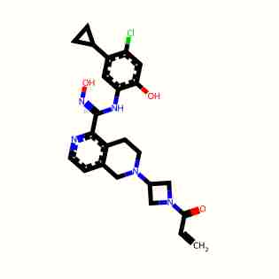 C=CC(=O)N1CC(N2CCc3c(ccnc3/C(=N/O)Nc3cc(C4CC4)c(Cl)cc3O)C2)C1